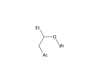 CCC(CC(C)=O)OC(C)C